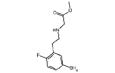 Bc1ccc(F)c(CCNCC(=O)OC)c1